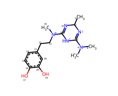 CC1N=C(N(C)C)NC(N(C)CCc2ccc(O)c(O)c2)=N1